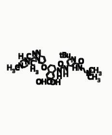 CN(C)CCNC(=O)c1cc(NC(=O)N[C@H]2CC[C@@H](Oc3ccc4nnc(C(C)(C)N5CCN(C)CC5)n4c3)c3ccccc32)cc(C(C)(C)C)n1.O=CO